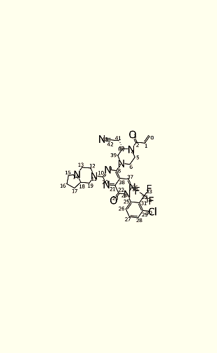 C=CC(=O)N1CCN(c2nc(N3CCN4CCCC4C3)nc3c(=O)n(-c4cccc(Cl)c4C(F)(F)F)ncc23)C[C@@H]1CC#N